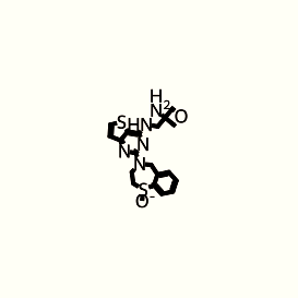 NC1(CNc2nc(N3CC[S+]([O-])c4ccccc4C3)nc3ccsc23)COC1